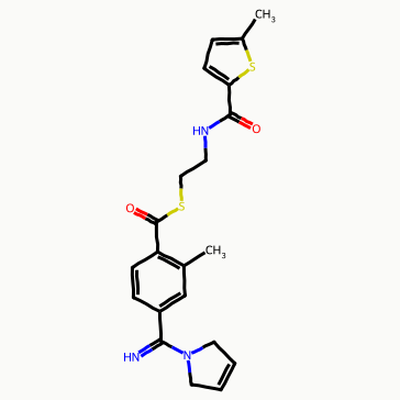 Cc1ccc(C(=O)NCCSC(=O)c2ccc(C(=N)N3CC=CC3)cc2C)s1